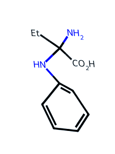 CCC(N)(Nc1ccccc1)C(=O)O